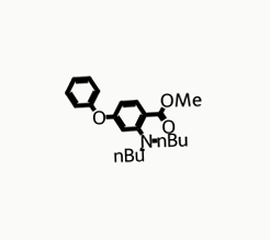 CCCCN(CCCC)c1cc(Oc2ccccc2)ccc1C(=O)OC